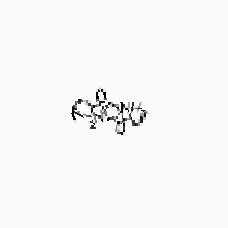 NC1(C(=O)c2ccccc2)C=CC(N)(C(=O)c2ccccc2)C=C1